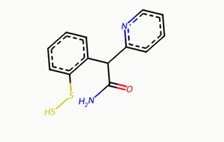 NC(=O)C(c1ccccn1)c1ccccc1SS